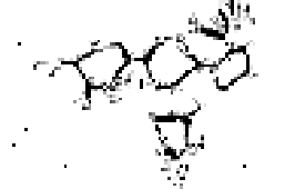 C[C@H]1SC[C@@H](C(=O)N[C@@H](Cc2cnc[nH]2)C(=O)N2CCC[C@H]2C(N)=O)NC1=O.O